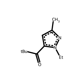 CCn1nc(C)cc1C(=O)C(C)(C)C